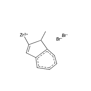 CC1[C]([Zr+2])=Cc2ccccc21.[Br-].[Br-]